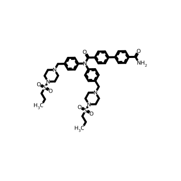 CCCS(=O)(=O)N1CCN(Cc2ccc(N(C(=O)c3ccc(-c4ccc(C(N)=O)cc4)cc3)c3ccc(CN4CCN(S(=O)(=O)CCC)CC4)cc3)cc2)CC1